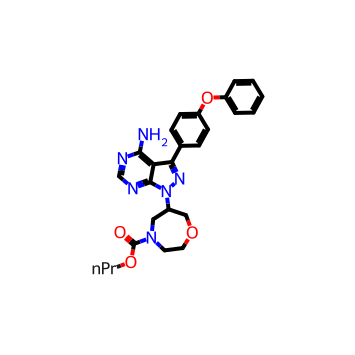 CCCOC(=O)N1CCOCC(n2nc(-c3ccc(Oc4ccccc4)cc3)c3c(N)ncnc32)C1